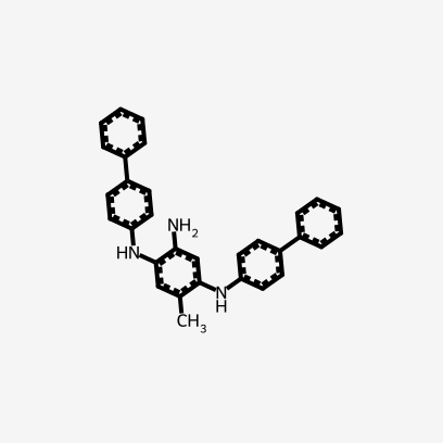 Cc1cc(Nc2ccc(-c3ccccc3)cc2)c(N)cc1Nc1ccc(-c2ccccc2)cc1